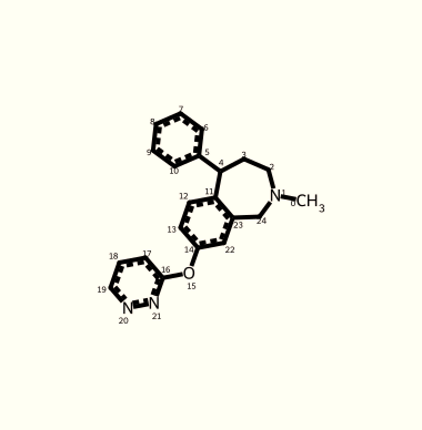 CN1CCC(c2ccccc2)c2ccc(Oc3cccnn3)cc2C1